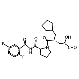 O=CN(O)C[C@@H](CC1CCCC1)C(=O)N1CCC[C@H]1C(=O)NC(=O)c1cc(F)ccc1F